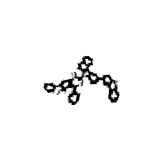 CC1(C)C(c2ccccc2)=CC2NC(n3c4ccc(-c5ccc6sc7ccccc7c6c5)cc4c4c5ccccc5ccc43)=NC(c3ccccc3)=C21